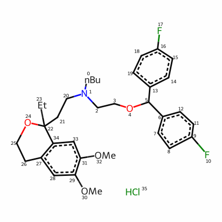 CCCCN(CCOC(c1ccc(F)cc1)c1ccc(F)cc1)CCC1(CC)OCCc2cc(OC)c(OC)cc21.Cl